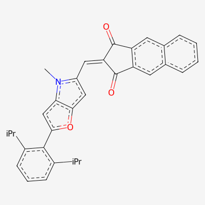 CC(C)c1cccc(C(C)C)c1-c1cc2c(cc(C=C3C(=O)c4cc5ccccc5cc4C3=O)n2C)o1